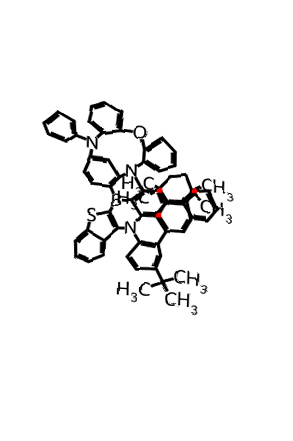 CC(C)(C)c1ccc(N2c3cc(-c4ccccc4)cc4c3B(c3ccc5cc3N4c3ccccc3Oc3ccccc3N5c3ccccc3)c3sc4ccccc4c32)c(-c2ccc3c(c2)C(C)(C)CCC3(C)C)c1